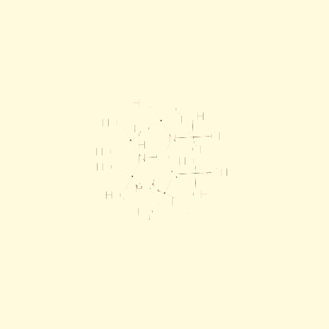 CC(C)(C)[N]([Ga]([N](C(C)(C)C)C(C)(C)C)[N](C(C)(C)C)C(C)(C)C)C(C)(C)C